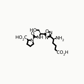 N[C@@H](CCCC(=O)O)c1noc([C@H](CO)NC(=O)N2CCCC2C(=O)O)n1